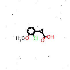 COc1cccc(C2CC2C(=O)O)c1Cl